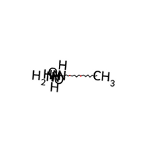 CCCCCCCCCCCCCCCCNC(=O)NNC(N)=O